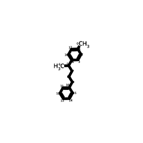 Cc1ccc(C(C)CCCc2ccccc2)cc1